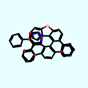 c1ccc(-c2ccccc2-c2ccc(-c3ccccc3)c(-c3c(-c4ccccc4)ccc4oc5ccccc5c34)c2-c2nnnc(-c3ccccc3)c2-c2ccccc2)cc1